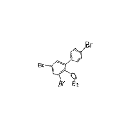 [CH2]COc1c(Br)cc(Br)cc1-c1ccc(Br)cc1